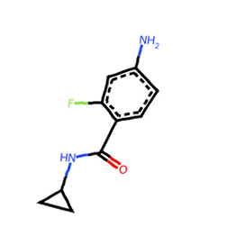 Nc1ccc(C(=O)NC2CC2)c(F)c1